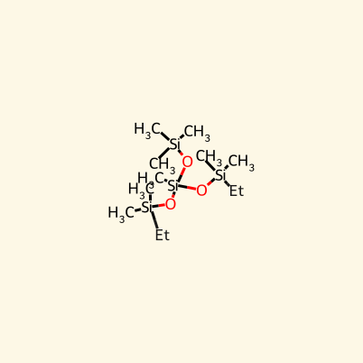 CC[Si](C)(C)O[Si](C)(O[Si](C)(C)C)O[Si](C)(C)CC